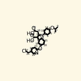 CC(C)Oc1ccc(-n2c(CC(=O)O)c(C(=O)O)c3cc(Oc4ccc(CCl)cn4)ccc32)cc1